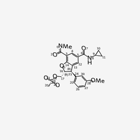 CNC(=O)c1cc(C(=O)NC2CC2)cc2c1O[C@@H](COS(C)(=O)=O)[C@@H]2c1cccc(OC)c1